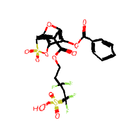 O=C(Oc1c2c3oc1c(C(=O)OCCC(F)(F)C(F)(F)S(=O)(=O)O)c3S(=O)(=O)O2)c1ccccc1